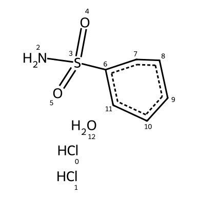 Cl.Cl.NS(=O)(=O)c1ccccc1.O